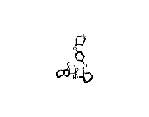 Cn1c(C(=O)Nc2ccccc2COc2ccc(OC3CCNCC3)cc2)cc2ccsc21